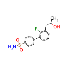 C[C](O)Cc1cccc(-c2ccc(S(N)(=O)=O)cc2)c1F